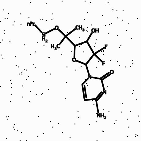 CCC[SiH2]OC(C)(C)C1OC(n2ccc(N)nc2=O)C(F)(F)C1O